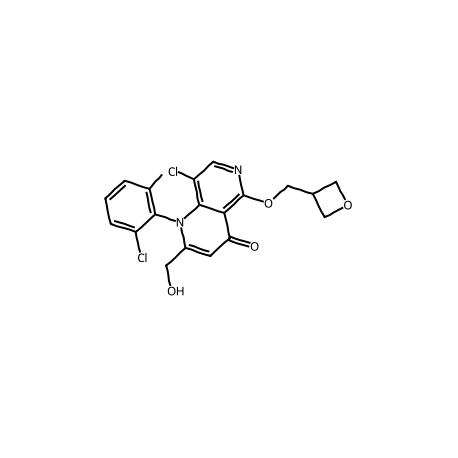 Cc1cccc(Cl)c1-n1c(CO)cc(=O)c2c(OCC3COC3)ncc(Cl)c21